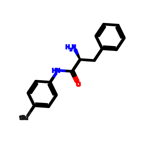 CC(C)(C)c1ccc(NC(=O)[C@@H](N)Cc2ccccc2)cc1